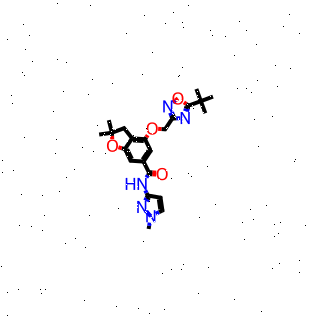 Cn1ccc(NC(=O)c2cc(OCc3noc(C(C)(C)C)n3)c3c(c2)OC(C)(C)C3)n1